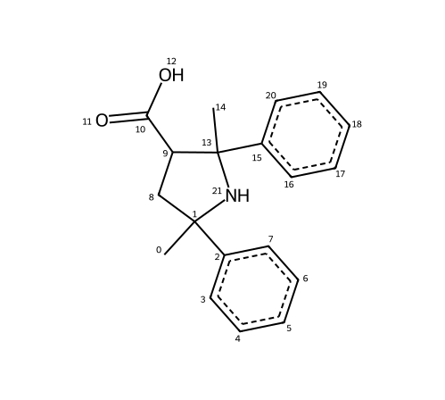 CC1(c2ccccc2)CC(C(=O)O)C(C)(c2ccccc2)N1